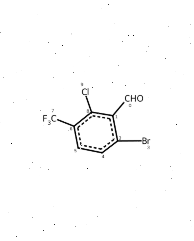 O=Cc1c(Br)ccc(C(F)(F)F)c1Cl